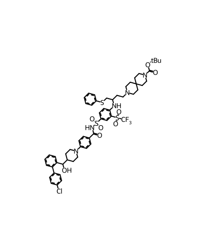 CC(C)(C)OC(=O)N1CCC2(CCN(CCC(CSc3ccccc3)Nc3ccc(S(=O)(=O)NC(=O)c4ccc(N5CCC(C(O)c6ccccc6-c6ccc(Cl)cc6)CC5)cc4)cc3S(=O)(=O)C(F)(F)F)CC2)CC1